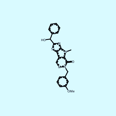 COc1cccc(Cn2ncc3c4sc(C(O)c5ccccc5)nc4n(C)c3c2=O)c1